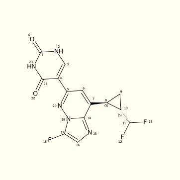 O=c1[nH]cc(-c2cc([C@H]3C[C@@H]3C(F)F)c3ncc(F)n3n2)c(=O)[nH]1